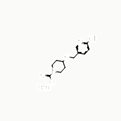 CC(C)(C)OC(=O)N1CCC(OCc2ccc(Cl)nc2)CC1